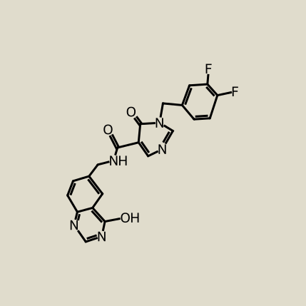 O=C(NCc1ccc2ncnc(O)c2c1)c1cncn(Cc2ccc(F)c(F)c2)c1=O